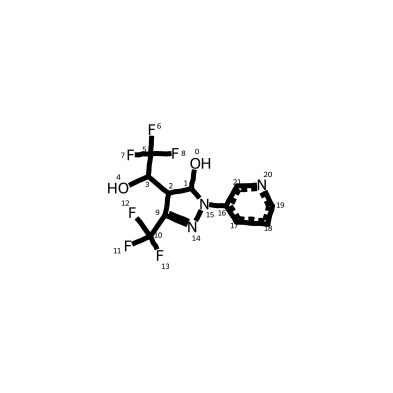 OC1C(C(O)C(F)(F)F)C(C(F)(F)F)=NN1c1cccnc1